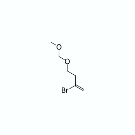 C=C(Br)CCOCOC